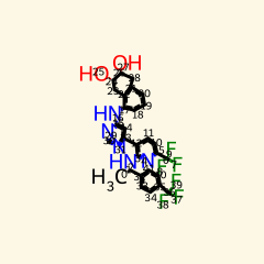 C[C@@H](Nc1nc(C(F)(F)F)ccc1-c1cc(Nc2cccc3c2C[C@H](O)[C@H](O)C3)ncn1)c1ccc(C(F)(F)F)cc1